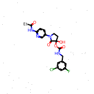 CCC(=O)Nc1ccc(N2CCC(O)(OC(=O)NCc3cc(F)cc(Cl)c3)C2=O)cn1